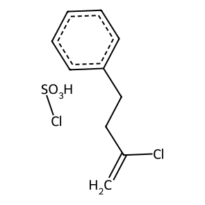 C=C(Cl)CCc1ccccc1.O=S(=O)(O)Cl